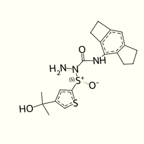 CC(C)(O)c1csc([S@@+]([O-])N(N)C(=O)Nc2c3c(cc4c2CC4)CCC3)c1